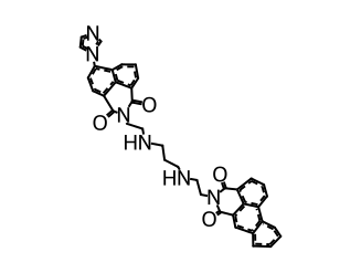 O=C1c2cccc3c(-n4ccnc4)ccc(c23)C(=O)N1CCNCCCNCCN1C(=O)c2cccc3c2c(cc2ccccc23)C1=O